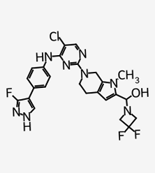 Cn1c(C(O)N2CC(F)(F)C2)cc2c1CN(c1ncc(Cl)c(Nc3ccc(-c4c[nH]nc4F)cc3)n1)CC2